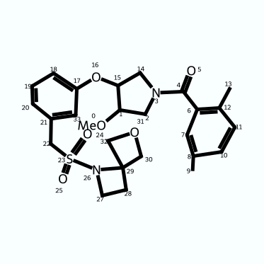 COC1CN(C(=O)c2cc(C)ccc2C)CC1Oc1cccc(CS(=O)(=O)N2CCC23COC3)c1